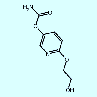 NC(=O)Oc1ccc(OCCO)nc1